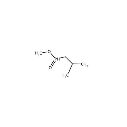 CO[PH](=O)CC(C)C